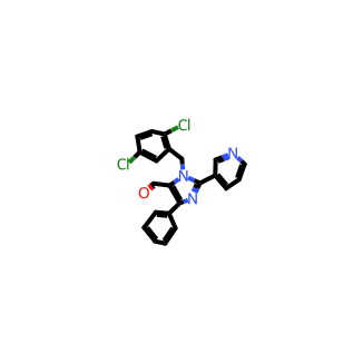 O=Cc1c(-c2ccccc2)nc(-c2cccnc2)n1Cc1cc(Cl)ccc1Cl